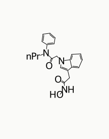 CCCN(C(=O)Cn1cc(CC(=O)NO)c2ccccc21)c1ccccc1